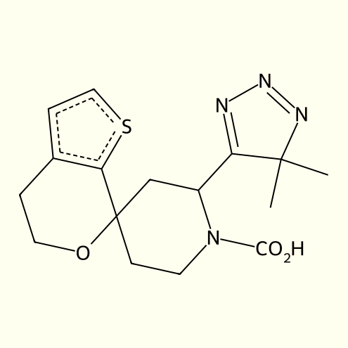 CC1(C)N=NN=C1C1CC2(CCN1C(=O)O)OCCc1ccsc12